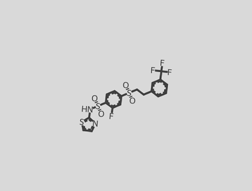 O=S(=O)(CCc1cccc(C(F)(F)F)c1)c1ccc(S(=O)(=O)Nc2nccs2)c(F)c1